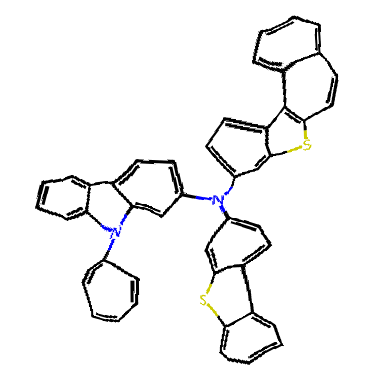 c1ccc(-n2c3ccccc3c3ccc(N(c4ccc5c(c4)sc4ccccc45)c4ccc5c(c4)sc4ccc6ccccc6c45)cc32)cc1